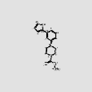 CC(C)(C)OC(=O)N1CCN(c2cccc(-c3cccs3)c2)CC1